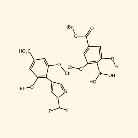 CCOc1cc(C(=O)O)cc(OCC)c1-c1cnn(C(F)F)c1.CCOc1cc(C(=O)OC(C)(C)C)cc(OCC)c1B(O)O